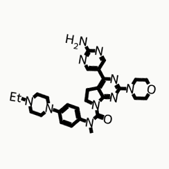 CCN1CCN(c2ccc(N(C)C(=O)N3CCc4c(-c5cnc(N)nc5)nc(N5CCOCC5)nc43)cc2)CC1